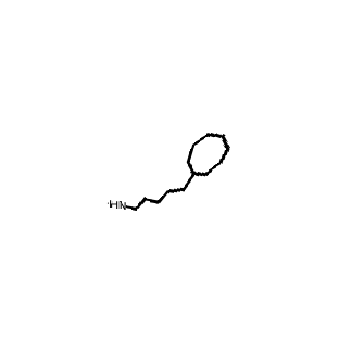 [NH]CCCCCC1CCCCCCC1